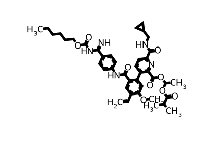 C=Cc1cc(C(=O)Nc2ccc(C(=N)NC(=O)OCCCCCC)cc2)c(-c2ccc(C(=O)NCC3CC3)nc2C(=O)OC(C)OC(=O)C(C)C)cc1OC